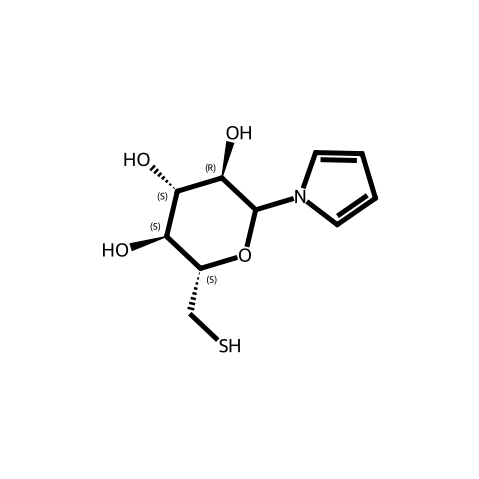 O[C@H]1[C@H](O)[C@@H](O)C(n2cccc2)O[C@@H]1CS